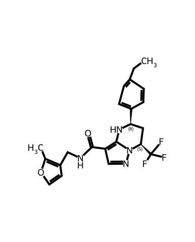 CCc1ccc([C@H]2C[C@@H](C(F)(F)F)n3ncc(C(=O)NCc4ccoc4C)c3N2)cc1